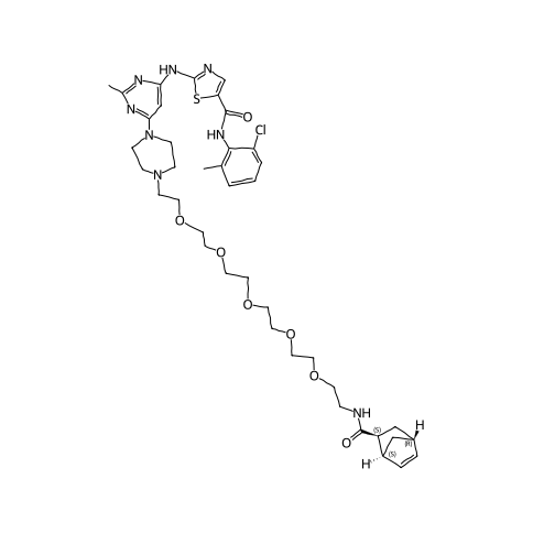 Cc1nc(Nc2ncc(C(=O)Nc3c(C)cccc3Cl)s2)cc(N2CCN(CCOCCOCCOCCOCCOCCNC(=O)[C@H]3C[C@@H]4C=C[C@@H]3C4)CC2)n1